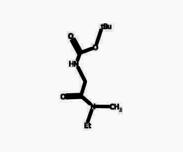 CCN(C)C(=O)CNC(=O)OC(C)(C)C